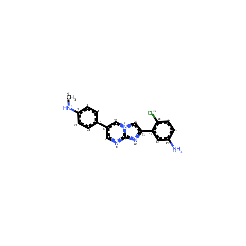 CNc1ccc(-c2cnc3nc(-c4cc(N)ccc4Cl)cn3c2)cc1